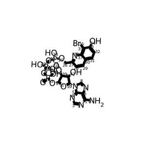 Nc1ncnc2c1ncn2[C@@H]1O[C@H](OP(=O)(O)OP(=O)(O)OP(=O)(O)OCc2ccc3ccc(O)c(Br)c3n2)C(O)C1O